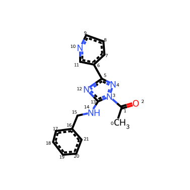 CC(=O)n1nc(-c2cccnc2)nc1NCc1ccccc1